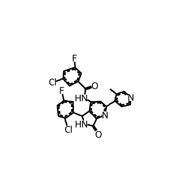 Cc1cnccc1-c1cc(NC(=O)c2cc(F)cc(Cl)c2)c2c(n1)C(=O)NC2c1cc(F)ccc1Cl